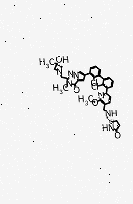 COc1nc(-c2cccc(-c3cccc(-c4cc5c(=O)n(C)c(CN6CC(C)(O)C6)nn5c4)c3Cl)c2Cl)ccc1CNC[C@@H]1CCC(=O)N1